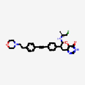 C[C@@H](CF)NCC(Cc1nc[nH]c(=O)c1O)c1ccc(C#Cc2ccc(CCN3CCOCC3)cc2)cc1